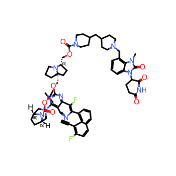 C#Cc1c(F)ccc2cccc(-c3ncc4c(N5C[C@H]6CC[C@@H](C5)N6C(=O)OC(C)(C)C)nc(OC[C@]56CCCN5[C@H](COC(=O)N5CCC(CC7CCN(Cc8cccc9c8n(C)c(=O)n9C8CCC(=O)NC8=O)CC7)CC5)CC6)nc4c3F)c12